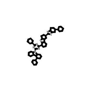 c1ccc(-c2ccc3nc(-c4ccc5sc6c(-c7nc(-c8ccccc8)nc(-n8c9ccccc9c9c(-c%10ccccc%10)cccc98)n7)cccc6c5c4)sc3c2)cc1